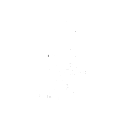 CCCCCCCC/C=C\CCCCCCCC(=O)O.CCCCCCCC/C=C\CCCCCCCC(=O)O.CCCCCCCC/C=C\CCCCCCCC(=O)O.O=C(O)c1ccc(C(=O)O)c(C(=O)O)c1